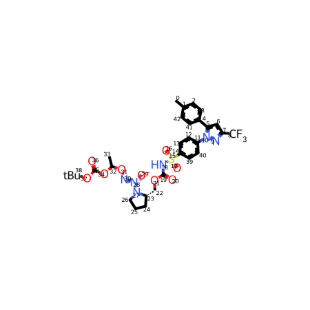 Cc1ccc(-c2cc(C(F)(F)F)nn2-c2ccc(S(=O)(=O)NC(=O)OC[C@@H]3CCCN3/[N+]([O-])=N/OC(C)OC(=O)OC(C)(C)C)cc2)cc1